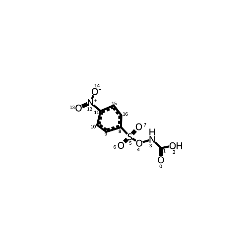 O=C(O)NOS(=O)(=O)c1ccc([N+](=O)[O-])cc1